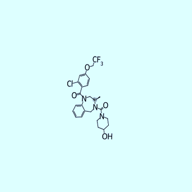 C[C@@H]1CN(C(=O)c2ccc(OCC(F)(F)F)cc2Cl)c2ccccc2CN1C(=O)N1CCC(O)CC1